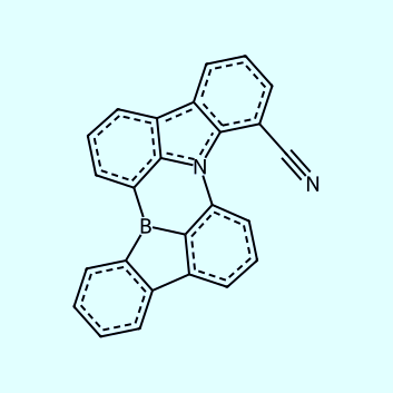 N#Cc1cccc2c3cccc4c3n(c12)-c1cccc2c1B4c1ccccc1-2